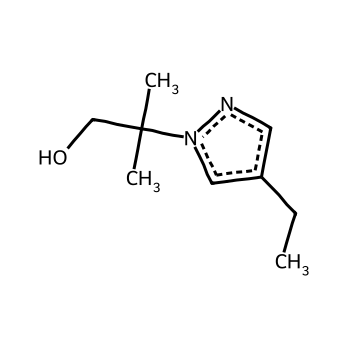 CCc1cnn(C(C)(C)CO)c1